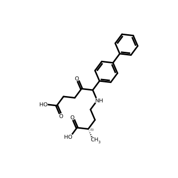 C[C@@H](CCNC(C(=O)CCC(=O)O)c1ccc(-c2ccccc2)cc1)C(=O)O